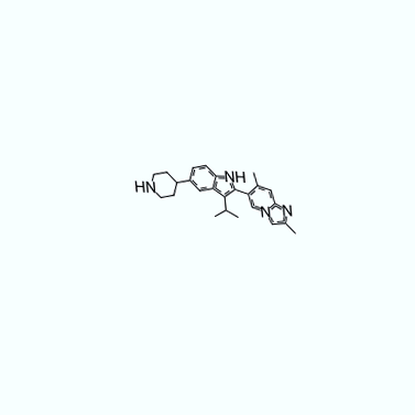 Cc1cn2cc(-c3[nH]c4ccc(C5CCNCC5)cc4c3C(C)C)c(C)cc2n1